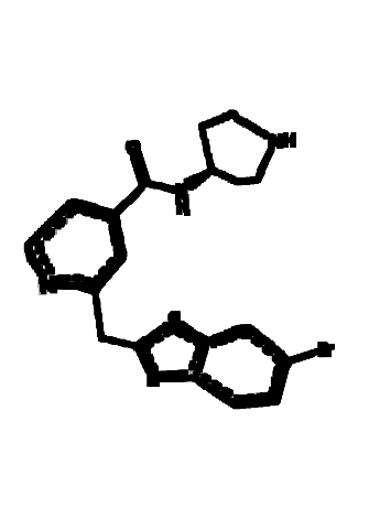 O=C(N[C@H]1CCNC1)c1ccnc(Cc2nc3ccc(Br)cc3s2)c1